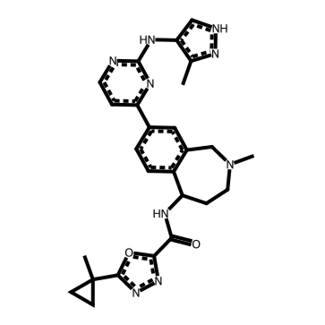 Cc1n[nH]cc1Nc1nccc(-c2ccc3c(c2)CN(C)CCC3NC(=O)c2nnc(C3(C)CC3)o2)n1